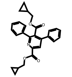 O=C(OCC1CC1)c1cc(-c2ccccc2)c(C(=O)OCC2CC2)c(-c2ccccc2)n1